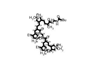 CCC(C)C(=O)NCNC(=O)C(C)CCC1C[N+](C)(C)CC1CCC(CC1C[N+](C)(C)CC1CC)C(=O)NCNC(=O)C(CCC1C[N+](C)(C)CC1CC)CC1C[N+](C)(C)CC1CC